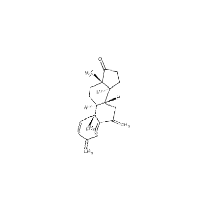 C=C1C=C[C@@]2(C)C(=C1)C(=C)C[C@@H]1[C@@H]2CC[C@]2(C)C(=O)CC[C@@H]12